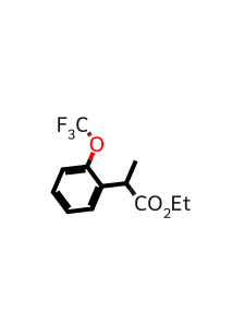 CCOC(=O)C(C)c1ccccc1OC(F)(F)F